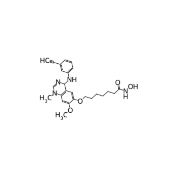 C#Cc1cccc(NC2N=CN(C)c3cc(OC)c(OCCCCCCC(=O)NO)cc32)c1